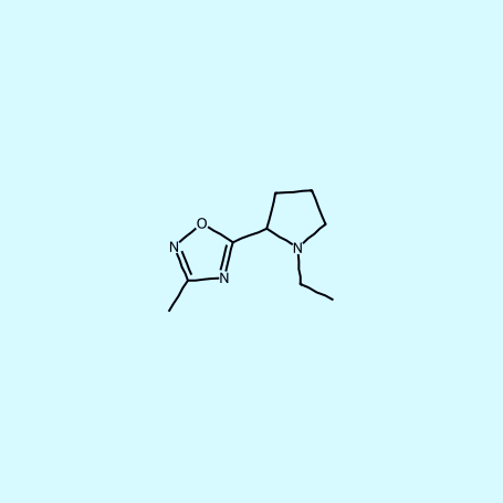 CCN1CCCC1c1nc(C)no1